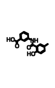 Cc1ccc(O)c(C(=O)Nc2cccc(C(=O)O)c2)c1